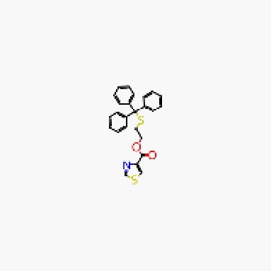 O=C(OCCSC(c1ccccc1)(c1ccccc1)c1ccccc1)c1cscn1